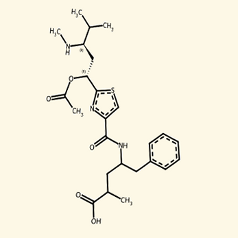 CN[C@H](C[C@@H](OC(C)=O)c1nc(C(=O)NC(Cc2ccccc2)CC(C)C(=O)O)cs1)C(C)C